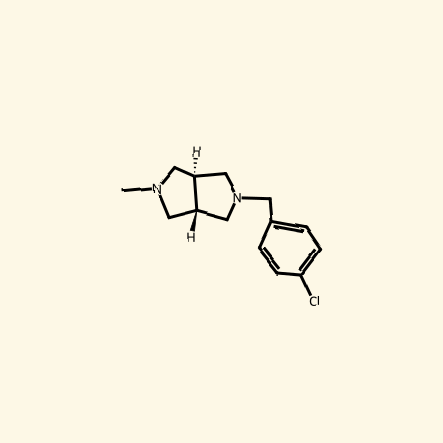 CN1C[C@H]2CN(Cc3ccc(Cl)cc3)C[C@@H]2C1